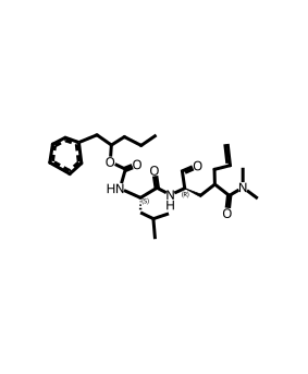 C=CCC(C[C@H](C=O)NC(=O)[C@H](CC(C)C)NC(=O)OC(CCC)Cc1ccccc1)C(=O)N(C)C